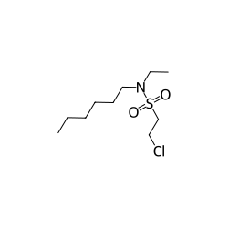 CCCCCCN(CC)S(=O)(=O)CCCl